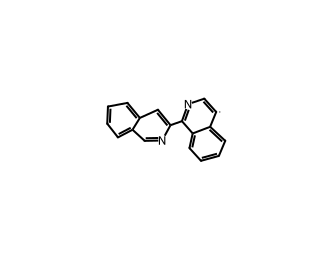 [c]1cnc(-c2cc3ccccc3cn2)c2ccccc12